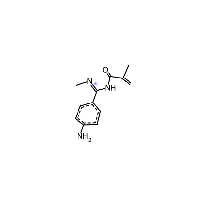 C=C(C)C(=O)N/C(=N/C)c1ccc(N)cc1